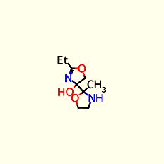 CCC1=NC(O)(C2(C)NCCO2)CO1